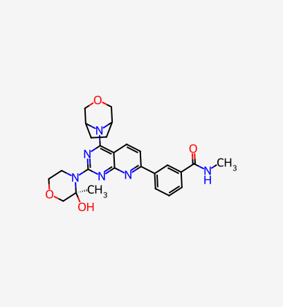 CNC(=O)c1cccc(-c2ccc3c(N4C5CCC4COC5)nc(N4CCOC[C@]4(C)O)nc3n2)c1